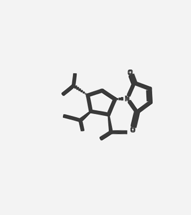 CC(C)[C@@H]1[C@H](C(C)C)[C@@H](N2C(=O)C=CC2=O)C[C@H]1C(C)C